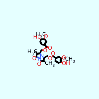 COc1cc(C(=O)OCc2c(C)c(=O)n3c(=O)c(C)c(COC(=O)c4ccc(O)c(OC)c4)n23)ccc1O